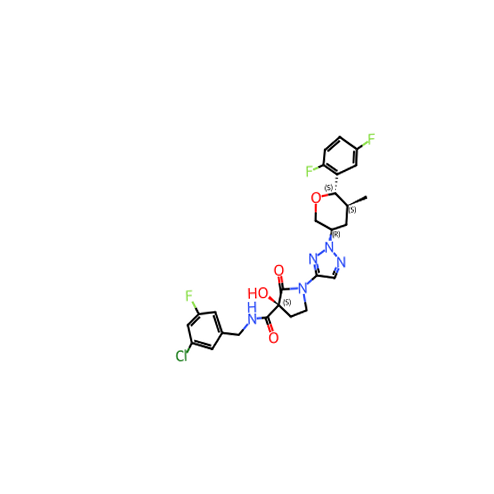 C[C@H]1C[C@@H](n2ncc(N3CC[C@](O)(C(=O)NCc4cc(F)cc(Cl)c4)C3=O)n2)CO[C@@H]1c1cc(F)ccc1F